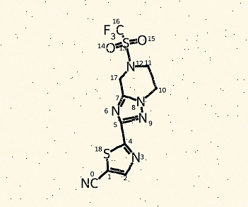 N#Cc1cnc(-c2nc3n(n2)CCN(S(=O)(=O)C(F)(F)F)C3)s1